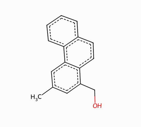 Cc1cc(CO)c2ccc3ccccc3c2c1